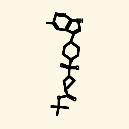 Cc1cnc2[nH]cc(C3CCN(S(=O)(=O)C4CN(C(=O)OC(C)(C)C)C4)CC3)c2c1